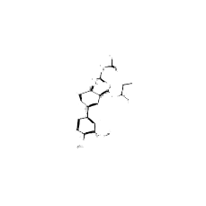 CCC(C)Oc1nc(NC(C)=O)nc2ccc(-c3ccc(OC)c(OC)c3)cc12